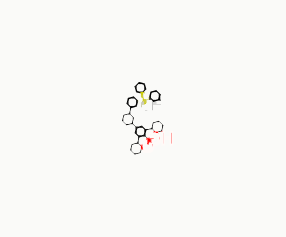 CS(c1ccccc1)(c1ccccc1)c1cccc(C2CCCC(c3cc(C4CCCCC4)c(C(=O)O)c(C4CCCCC4)c3)C2)c1